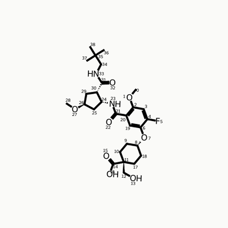 COc1cc(F)c(O[C@H]2CC[C@@](CO)(C(=O)O)CC2)cc1C(=O)N[C@@H]1C[C@@H](OC)C[C@@H]1C(=O)NCC(C)(C)C